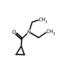 CCN(CC)C(=O)C1[CH]C1